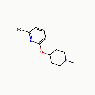 CN1CCC(Oc2cccc(C#N)n2)CC1